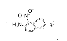 Nc1ccc2cc(Br)ccc2c1[N+](=O)[O-]